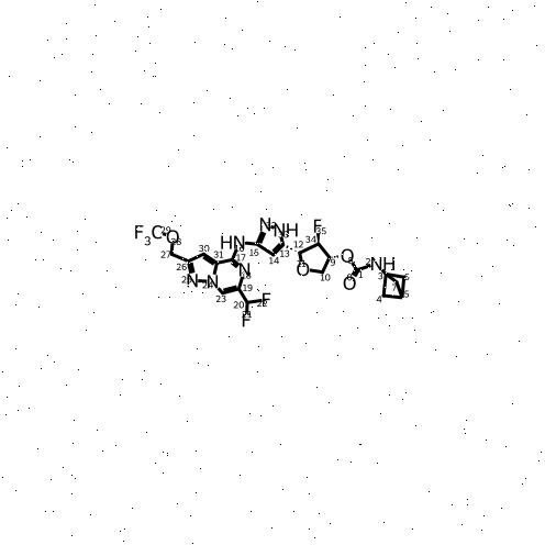 O=C(NC12CC(C1)C2)O[C@@H]1CO[C@H](c2cc(Nc3nc(C(F)F)cn4nc(COC(F)(F)F)cc34)n[nH]2)[C@H]1F